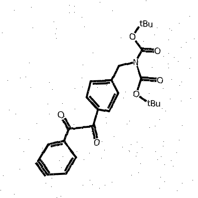 CC(C)(C)OC(=O)N(Cc1ccc(C(=O)C(=O)c2cc#ccc2)cc1)C(=O)OC(C)(C)C